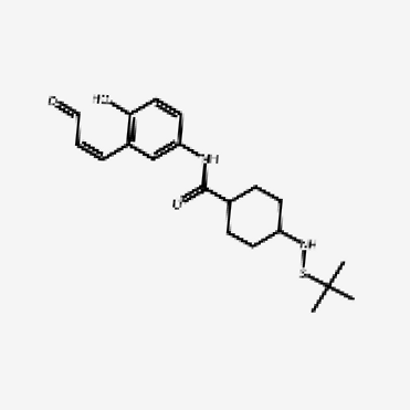 CC(C)(C)SNC1CCC(C(=O)Nc2ccc(O)c(/C=C\C=O)c2)CC1